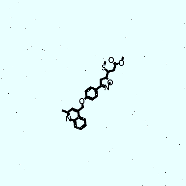 COC(=O)CC(SC)C1CC(c2ccc(OCc3cc(C)nc4ccccc34)cc2)=NO1